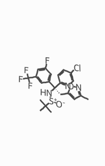 Cc1cc(C[C@](N[S@@+]([O-])C(C)(C)C)(c2cc(F)cc(C(F)(F)F)c2)c2ccc(Cl)cn2)on1